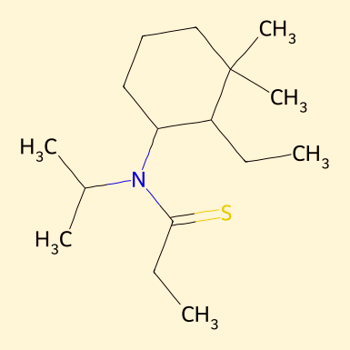 CCC(=S)N(C(C)C)C1CCCC(C)(C)C1CC